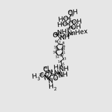 CCCCCCN(CCN[C@@H](Cc1ccc2cc(CCCCNC(=N)NC(=O)c3nc(Cl)c(C)nc3N)ccc2c1)C(N)=O)C[C@H](O)[C@@H](O)[C@H](O)[C@H](O)CO